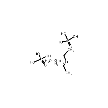 CCOCC.O.O.O.O=P(O)(O)O.O=P(O)(O)O